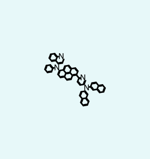 c1ccc(N(c2ccnc3ccccc23)c2ccc3ccc4c(-c5ccc(N(c6ccc7ccccc7c6)c6ccc7ccccc7c6)cn5)ccc5ccc2c3c54)cc1